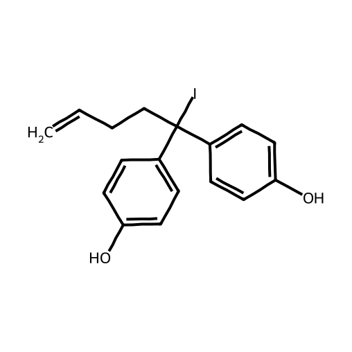 C=CCCC(I)(c1ccc(O)cc1)c1ccc(O)cc1